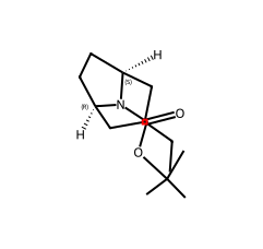 CCC1C[C@H]2CC[C@@H](C1)N2C(=O)OC(C)(C)C